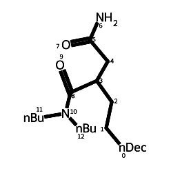 CCCCCCCCCCCCC(CC(N)=O)C(=O)N(CCCC)CCCC